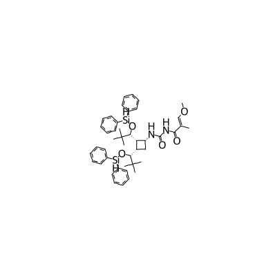 COC=C(C)C(=O)NC(=O)N[C@@H]1C[C@H](C(O[SiH](c2ccccc2)c2ccccc2)C(C)(C)C)[C@@H]1C(O[SiH](c1ccccc1)c1ccccc1)C(C)(C)C